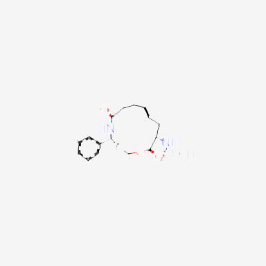 O=C(O)N[C@@H]1C/C=C/CCC(=O)N[C@H](c2ccccc2)CCOC1=O